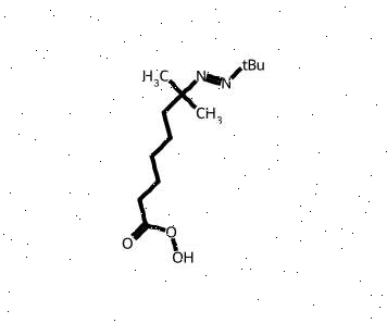 CC(C)(C)/N=N/C(C)(C)CCCCCC(=O)OO